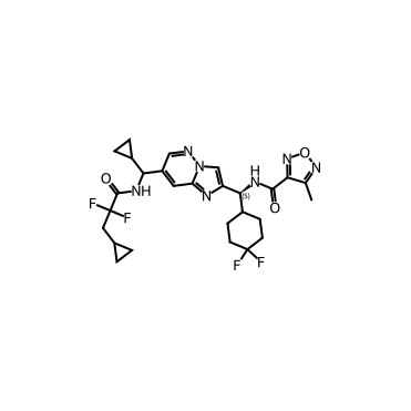 Cc1nonc1C(=O)N[C@H](c1cn2ncc(C(NC(=O)C(F)(F)CC3CC3)C3CC3)cc2n1)C1CCC(F)(F)CC1